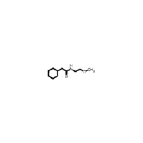 COCCNC(=O)CC1CCCCC1